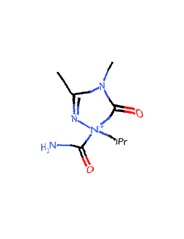 CC1=N[N+](C(N)=O)(C(C)C)C(=O)N1C